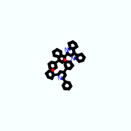 c1ccc(-c2cc(-c3ccc(-n4c5ccccc5c5c6ccccc6nc(-c6ccc(-c7ccccc7)c7ccccc67)c54)cc3)cc(-c3ccccc3)n2)cc1